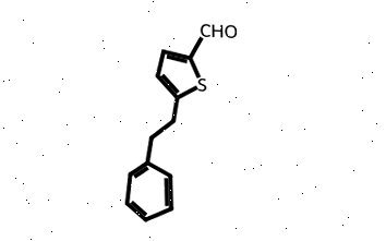 O=Cc1ccc(CCc2ccccc2)s1